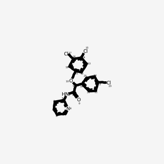 O=C(Nc1ccccn1)C(Oc1ccc(Cl)c(Cl)c1)c1ccc(Cl)cc1